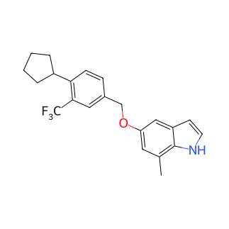 Cc1cc(OCc2ccc(C3CCCC3)c(C(F)(F)F)c2)cc2cc[nH]c12